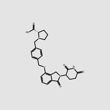 O=C1CCC(N2Cc3c(OCc4ccc(CN5CCC[C@H]5C(=O)O)cc4)cccc3C2=O)C(=O)N1